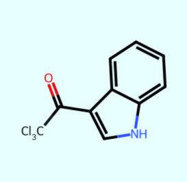 O=C(c1c[nH]c2ccccc12)C(Cl)(Cl)Cl